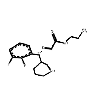 CCCNC(=O)CO[C@@H](c1cccc(F)c1F)C1CCCNC1